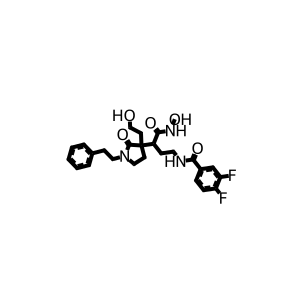 O=C(NCCC(C(=O)NO)C1(CCO)CCN(CCc2ccccc2)C1=O)c1ccc(F)c(F)c1